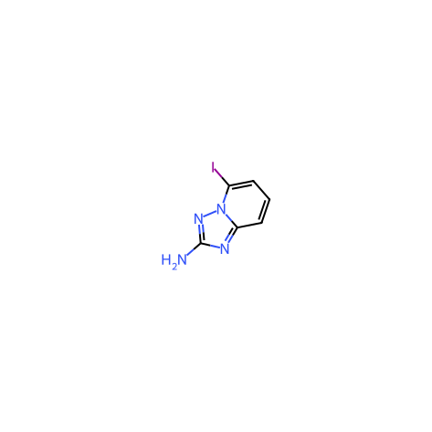 Nc1nc2cccc(I)n2n1